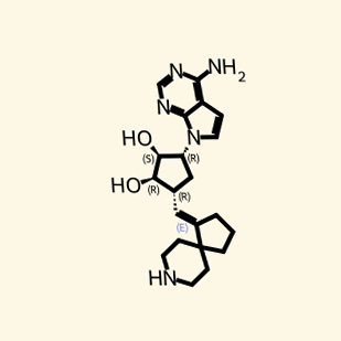 Nc1ncnc2c1ccn2[C@@H]1C[C@H](/C=C2\CCCC23CCNCC3)[C@@H](O)[C@H]1O